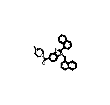 CN1CCN(C(=O)c2ccc3c(c2)nc(-c2cccc4ccccc24)n3Cc2cccc3ccccc23)CC1